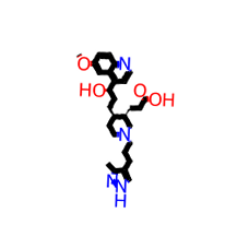 COc1ccc2nccc([C@H](O)CC[C@@H]3CCN(CCCc4c[nH]nc4C)C[C@H]3CCC(=O)O)c2c1